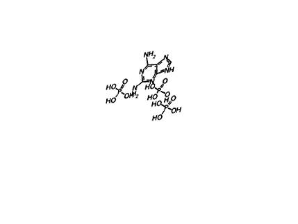 Nc1nc(N)c2nc[nH]c2n1.O=P(O)(O)O.O=P(O)(O)O.O=P(O)(O)O